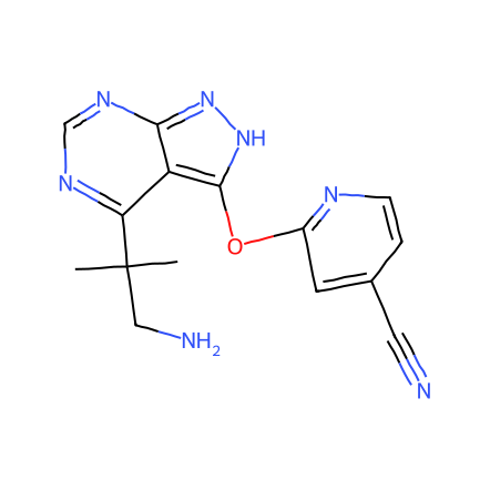 CC(C)(CN)c1ncnc2n[nH]c(Oc3cc(C#N)ccn3)c12